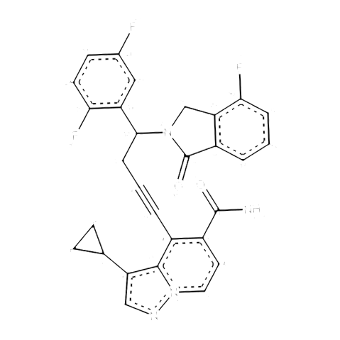 NC(=O)c1ccn2ncc(C3CC3)c2c1C#CCC(c1cc(F)ccc1F)N1Cc2c(F)cccc2C1=O